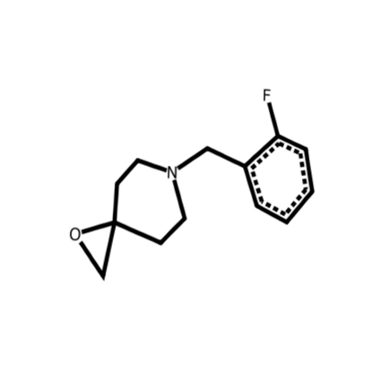 Fc1ccccc1CN1CCC2(CC1)CO2